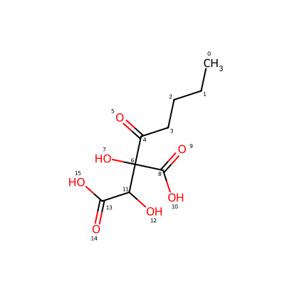 CCCCC(=O)C(O)(C(=O)O)C(O)C(=O)O